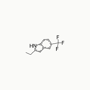 CCc1cc2cc(C(F)(F)F)ccc2[nH]1